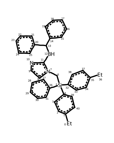 CCc1ccc([Si](Cn2ccnc2BC(c2ccccc2)c2ccccc2)(c2ccccc2)c2ccc(CC)cc2)cc1